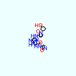 CNc1cc(Nc2cccn(C3CCCC(O)C3)c2=O)nn2c(C(=O)N[C@@H]3CCN(C)C3=O)cnc12